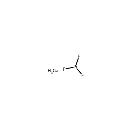 [F][In]([F])[F].[GaH3]